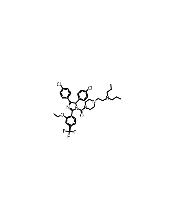 CCCN(CCC)CCN1CCN(C(=O)N2C(c3ccc(C(F)(F)F)cc3OCC)=NC(c3ccc(Cl)cc3)C2c2ccc(Cl)cc2)CC1